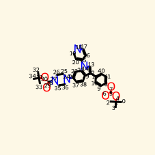 CC(C)(C)OC(=O)Oc1ccc(-c2cn(-c3ccncc3)c3cc(N4CCN(C(=O)OC(C)(C)C)CC4)ccc23)cc1